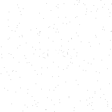 COc1cc(C(I)CNS(=O)(=O)c2ccc([N+](=O)[O-])cc2)cc2c1OCO2